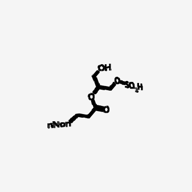 CCCCCCCCCCCC(=O)OC(CO)COS(=O)(=O)O